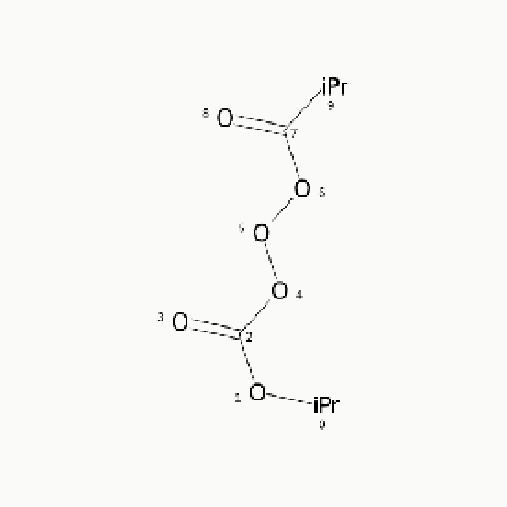 CC(C)OC(=O)OOOC(=O)C(C)C